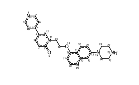 O=c1ccc(-c2ccncc2)nn1CCOc1ccnc2cc(N3CCNCC3)ccc12